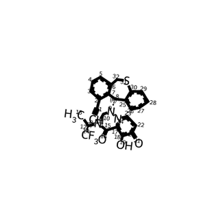 C#Cc1cccc2c1[C@@H](N1CN([C@H](C)C(F)(F)F)C(=O)c3c(O)c(=O)ccn31)c1ccccc1SC2